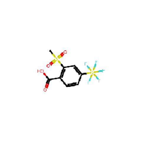 CS(=O)(=O)c1cc(S(F)(F)(F)(F)F)ccc1C(=O)O